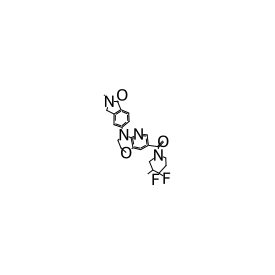 CC1CN(C(=O)c2cnc3c(c2)OCCN3c2ccc3c(c2)CN(C)C3=O)CCC1(F)F